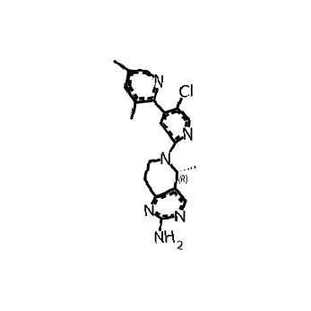 Cc1cnc(-c2cc(N3CCc4nc(N)ncc4[C@H]3C)ncc2Cl)c(C)c1